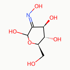 OC[C@H]1OC(O)C(=NO)[C@@H](O)[C@@H]1O